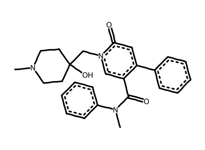 CN1CCC(O)(Cn2cc(C(=O)N(C)c3ccccc3)c(-c3ccccc3)cc2=O)CC1